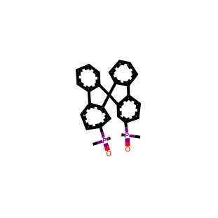 CP(C)(=O)c1ccc2c(c1)C1(c3ccccc3-2)c2ccccc2-c2ccc(P(C)(C)=O)cc21